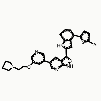 CC(=O)c1ccc(-c2cccc3[nH]c(-c4n[nH]c5ncc(-c6cncc(OCCN7CCCC7)c6)cc45)cc23)s1